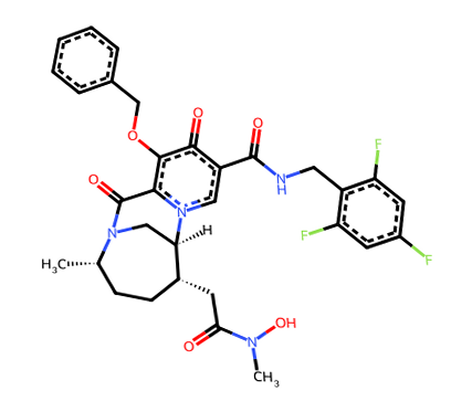 C[C@H]1CC[C@@H](CC(=O)N(C)O)[C@H]2CN1C(=O)c1c(OCc3ccccc3)c(=O)c(C(=O)NCc3c(F)cc(F)cc3F)cn12